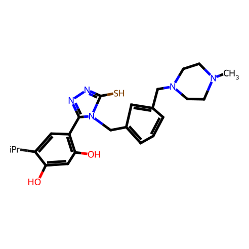 CC(C)c1cc(-c2nnc(S)n2Cc2cccc(CN3CCN(C)CC3)c2)c(O)cc1O